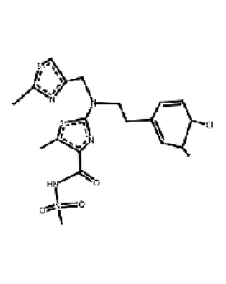 Cc1nc(CN(CCC2=CC(C)C(Cl)C=C2)c2nc(C(=O)NS(C)(=O)=O)c(C)s2)cs1